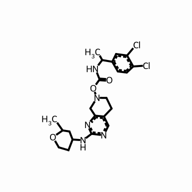 CC1CC(Nc2ncc3c(n2)CN(OC(=O)NC(C)c2ccc(Cl)c(Cl)c2)CC3)CCO1